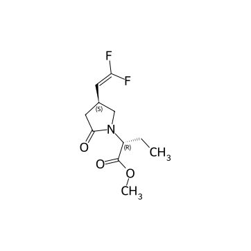 CC[C@H](C(=O)OC)N1C[C@H](C=C(F)F)CC1=O